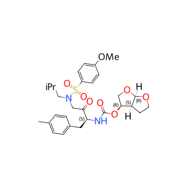 COc1ccc(S(=O)(=O)N(CC(=O)[C@H](Cc2ccc(C)cc2)NC(=O)O[C@H]2CO[C@H]3OCC[C@H]32)CC(C)C)cc1